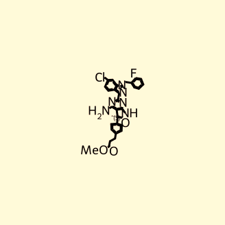 COC(=O)CCc1ccc([C@]2(C)C(=O)Nc3nc(-c4nn(Cc5ccccc5F)c5cc(Cl)ccc45)nc(N)c32)cc1